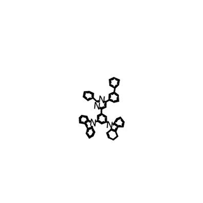 C1=Cc2c(c3ccccc3n2-c2cc(-c3cc(-c4cccc(-c5ccccc5)c4)nc(-c4ccccc4)n3)cc(-n3c4ccccc4c4ccccc43)c2)CC1